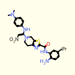 CC(C)c1ccc(N)c(NC(=O)c2nc3c(s2)CN(/C(=C\[N+](=O)[O-])Nc2ccc(N(C)C)cc2)CC3)c1